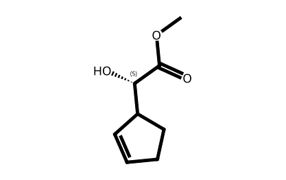 COC(=O)[C@@H](O)C1C=CCC1